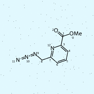 COC(=O)c1cccc(CN=[N+]=[N-])n1